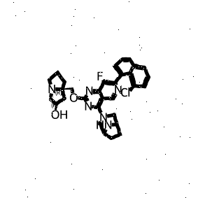 O[C@H]1CN2CCC[C@]2(COc2nc(N3CC4CCC(C3)N4)c3cnc(-c4cccc5cccc(Cl)c45)c(F)c3n2)C1